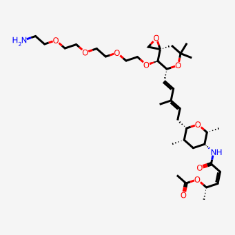 CC(=O)O[C@@H](C)/C=C\C(=O)N[C@@H]1C[C@H](C)[C@H](C/C=C(C)/C=C/[C@H]2OC(C)(C)C[C@@]3(CO3)[C@@H]2OCCOCCOCCOCCN)O[C@@H]1C